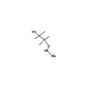 CC(C)(C)BOC(C)(C)C(C)(C)O